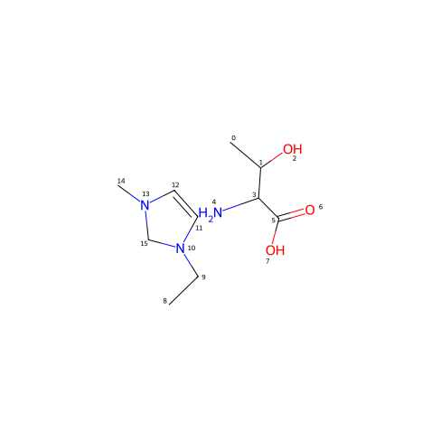 CC(O)C(N)C(=O)O.CCN1C=CN(C)C1